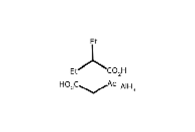 CC(=O)CC(=O)O.CCC(CC)C(=O)O.[AlH3]